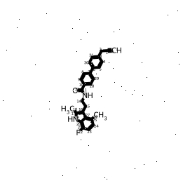 C#CCc1ccc(-c2ccc(C(=O)NCCc3c(C)[nH]c4c(F)ccc(C)c34)cc2)cc1